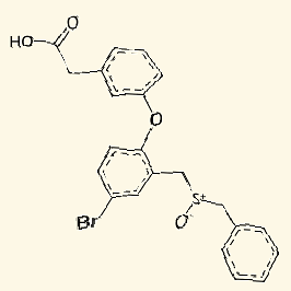 O=C(O)Cc1cccc(Oc2ccc(Br)cc2C[S+]([O-])Cc2ccccc2)c1